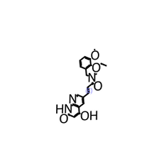 CCOc1c(CN(C)C(=O)/C=C/c2cnc3[nH]c(=O)cc(O)c3c2)cccc1OC